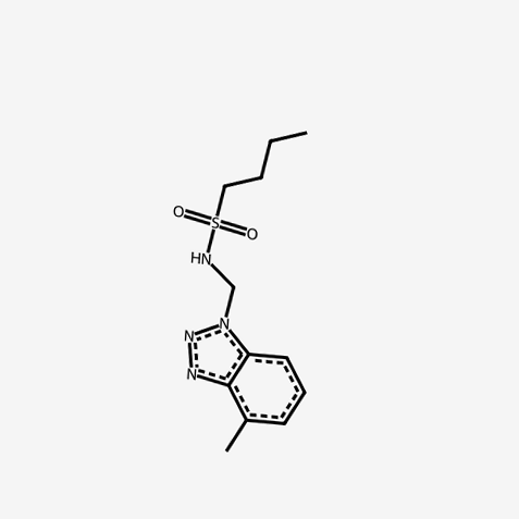 CCCCS(=O)(=O)NCn1nnc2c(C)cccc21